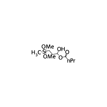 CCCC(=O)OC(O)CC[Si](C)(OC)OC